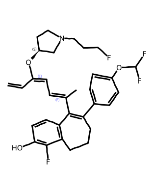 C=C/C(=C\C=C(/C)C1=C(c2ccc(OC(F)F)cc2)CCCc2c1ccc(O)c2F)O[C@H]1CCN(CCCF)C1